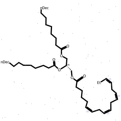 CC/C=C\C/C=C\C/C=C\C/C=C\CCCCC(=O)OC[C@@H](COC(=O)CCCCCCCCCCCCCCCCC)OC(=O)CCCCCCCCCCCCCCCCC